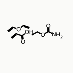 C=CC(=O)O.C=COC=C.CCOC(N)=O